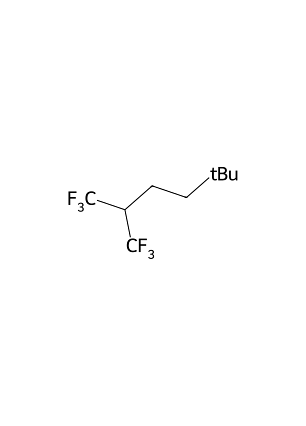 CC(C)(C)CCC(C(F)(F)F)C(F)(F)F